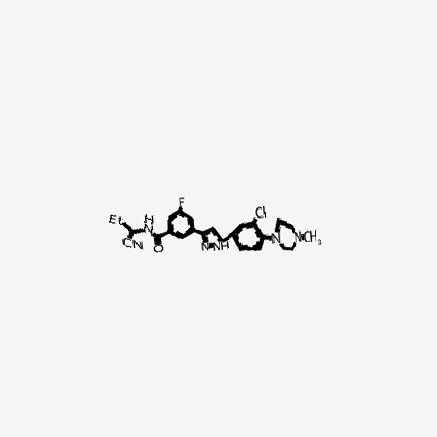 CCC(C#N)NC(=O)c1cc(F)cc(-c2cc(-c3ccc(N4CCN(C)CC4)c(Cl)c3)[nH]n2)c1